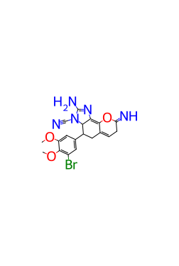 COc1cc(C2CC3=CCC(=N)OC3=C3N=C(N)N(C#N)C32)cc(Br)c1OC